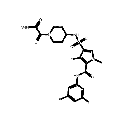 CNC(=O)C(=O)N1CCC(NS(=O)(=O)c2cn(C)c(C(=O)Nc3cc(F)cc(Cl)c3)c2F)CC1